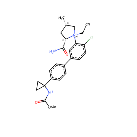 COC(=O)NC1(c2ccc(-c3ccc(Cl)c([N@@+]4(CC#N)C[C@@H](C)C[C@H]4C(N)=O)c3)cc2)CC1